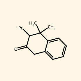 CC(C)C1C(=O)Cc2ccccc2C1(C)C